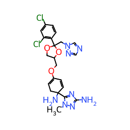 Cn1nc(N)nc1C1(N)C=CC(OCC2COC(Cn3cncn3)(c3ccc(Cl)cc3Cl)O2)=CC1